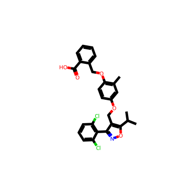 Cc1cc(OCc2c(-c3c(Cl)cccc3Cl)noc2C(C)C)ccc1OCc1ccccc1C(=O)O